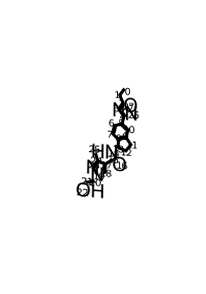 CCc1nc(-c2ccc3c(c2)CCC3NC(=O)c2cn(CCO)nc2C)no1